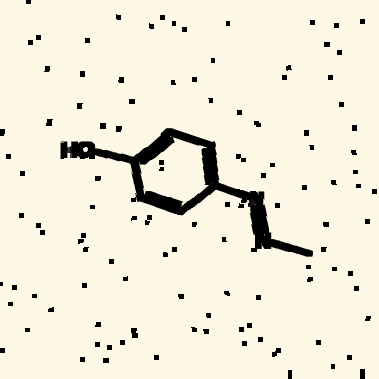 CN=Nc1ccc(O)cc1